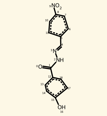 O=C(N/N=C/c1ccc([N+](=O)[O-])cc1)c1ccc(O)cc1